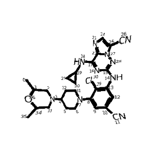 CC1CN(C2CCN(c3cc(C#N)cc(Nc4nc(NC5CC5)c5ncc(C#N)n5n4)c3Cl)CC2)CC(C)O1